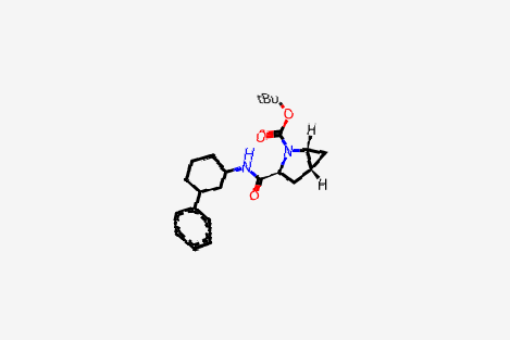 CC(C)(C)OC(=O)N1[C@@H]2C[C@@H]2C[C@H]1C(=O)NC1CCCC(c2ccccc2)C1